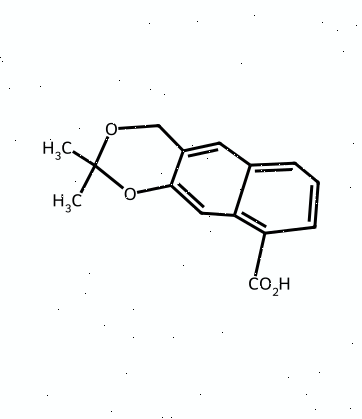 CC1(C)OCc2cc3cccc(C(=O)O)c3cc2O1